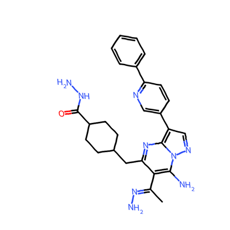 C/C(=N\N)c1c(CC2CCC(C(=O)NN)CC2)nc2c(-c3ccc(-c4ccccc4)nc3)cnn2c1N